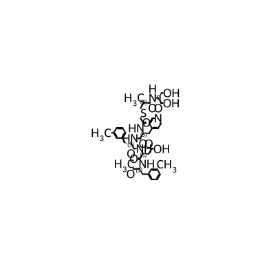 CC(=O)[C@H](Cc1cccc(C)c1)NC(=O)[C@H](CC(=O)O)NC(=O)[C@H](Cc1cccc(C)c1)NC(=O)[C@H](Cc1ccncc1)NC(=O)CSC[C@H](C)C(=O)N[C@@H](CO)C(=O)O